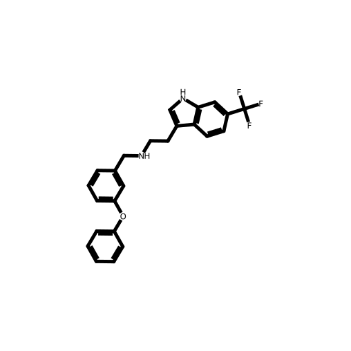 FC(F)(F)c1ccc2c(CCNCc3cccc(Oc4ccccc4)c3)c[nH]c2c1